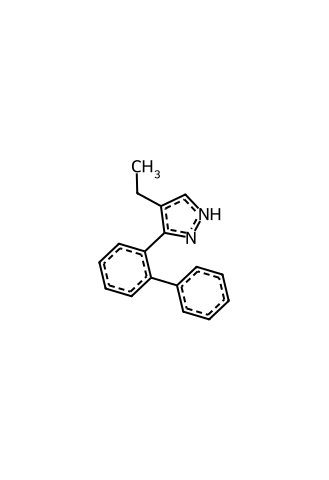 CCc1c[nH]nc1-c1ccccc1-c1ccccc1